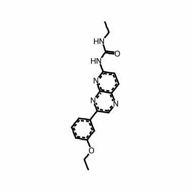 CCNC(=O)Nc1ccc2ncc(-c3cccc(OCC)c3)nc2n1